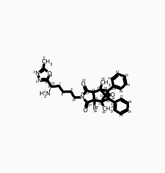 Cc1nnc([C@@H](N)CCCCN2C(=O)C3C4(C)C(=O)C(C)(C(c5ccccc5)=C4c4ccccc4)C3(Br)C2=O)o1